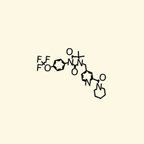 CC1(C)C(=O)N(c2ccc(OC(F)(F)F)cc2)C(=O)N1Cc1ccnc(C(=O)N2CCCCC2)c1